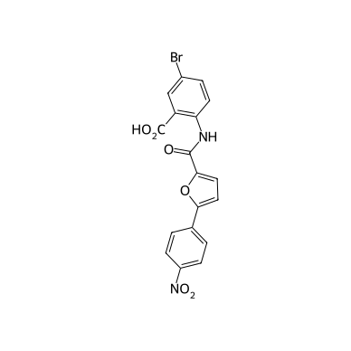 O=C(Nc1ccc(Br)cc1C(=O)O)c1ccc(-c2ccc([N+](=O)[O-])cc2)o1